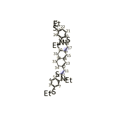 CCSc1ccc2c(c1)N(CC)/C(=C/C1=CC3=C/C(=C/c4sc5ccc(SCC)cc5[n+]4CC)CCC3CC1)S2